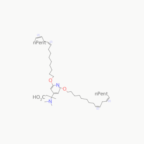 CCCCC/C=C\C/C=C\CCCCCCCCOc1cc(C(C)(CC(=O)O)N(C)C)cc(OCCCCCCCC/C=C\C/C=C\CCCCC)n1